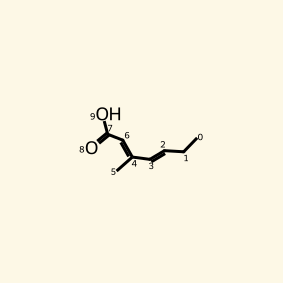 CCC=CC(C)=CC(=O)O